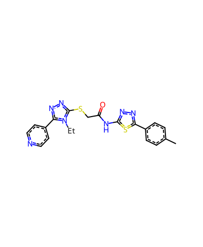 CCn1c(SCC(=O)Nc2nnc(-c3ccc(C)cc3)s2)nnc1-c1ccncc1